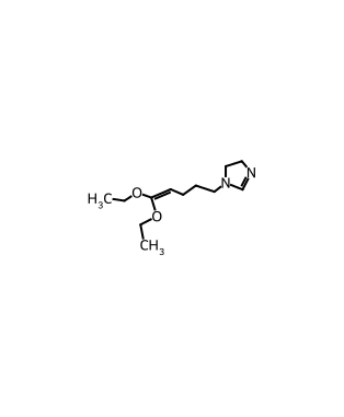 CCOC(=CCCCN1C=NCC1)OCC